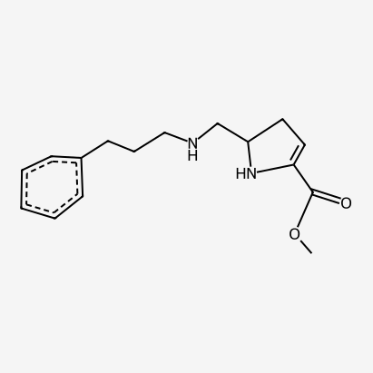 COC(=O)C1=CCC(CNCCCc2ccccc2)N1